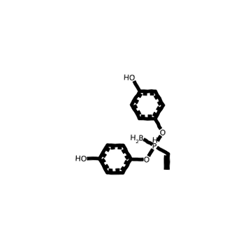 B[PH](C=C)(Oc1ccc(O)cc1)Oc1ccc(O)cc1